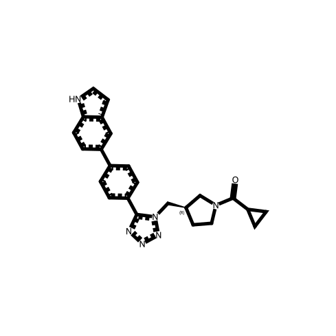 O=C(C1CC1)N1CC[C@@H](Cn2nnnc2-c2ccc(-c3ccc4[nH]ccc4c3)cc2)C1